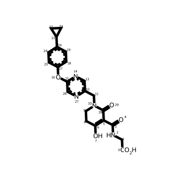 O=C(O)CNC(=O)C1=C(O)CCN(Cc2cnc(Oc3ccc(C4CC4)cc3)cn2)C1=O